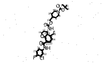 CC(C)(C)OC(=O)N1CCC(COC(=O)N[C@H]2CCOc3c(C(=O)Nc4ccc(F)c(Cl)c4)ccc(F)c32)CC1